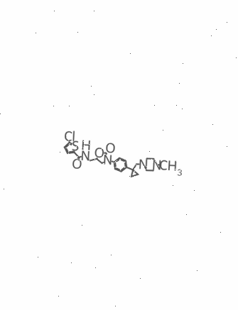 CN1CCN(CC2(c3ccc(N4CC(CNC(=O)c5ccc(Cl)s5)OC4=O)cc3)CC2)CC1